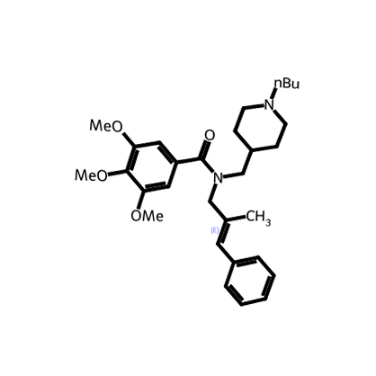 CCCCN1CCC(CN(C/C(C)=C/c2ccccc2)C(=O)c2cc(OC)c(OC)c(OC)c2)CC1